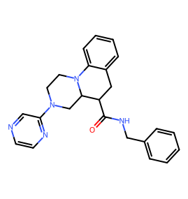 O=C(NCc1ccccc1)C1Cc2ccccc2N2CCN(c3cnccn3)CC12